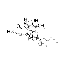 CCC[C@H](C)[C@@H](O)C[C@@H]1O[C@@]2(NC(=O)[C@@H](CC)C[C@@H]2C)[C@@H](C)[C@@H](O)[C@H]1C